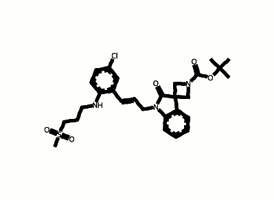 CC(C)(C)OC(=O)N1CC2(C1)C(=O)N(C/C=C/c1cc(Cl)ccc1NCCCS(C)(=O)=O)c1ccccc12